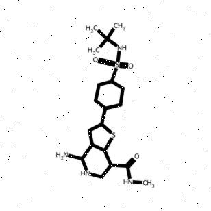 CNC(=O)C1CNC(N)C2CC(C3CCC(S(=O)(=O)NC(C)(C)C)CC3)SC12